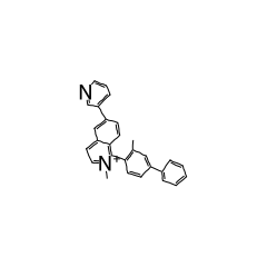 Cc1cc(-c2ccccc2)ccc1-c1c2ccc(-c3cccnc3)cc2cc[n+]1C